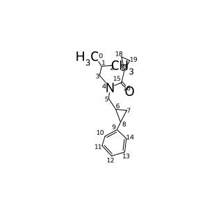 CC(C)CN(CC1CC1c1ccccc1)C(=O)C1CC1